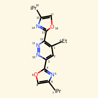 CCc1cc(-c2nc(C(C)C)co2)nnc1-c1nc(C(C)C)co1